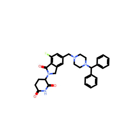 O=C1CCC(N2Cc3cc(CN4CCN(C(c5ccccc5)c5ccccc5)CC4)cc(F)c3C2=O)C(=O)N1